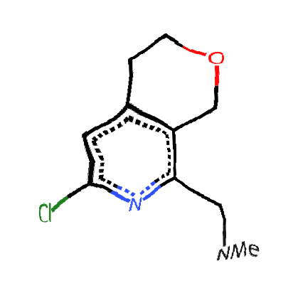 CNCc1nc(Cl)cc2c1COCC2